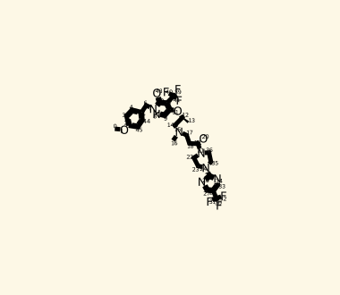 COc1ccc(Cn2ncc(O[C@@H](C)CN(C)CCC(=O)N3CCN(c4ncc(C(F)(F)F)cn4)CC3)c(C(F)(F)F)c2=O)cc1